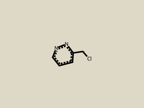 Cl[CH]c1cccnn1